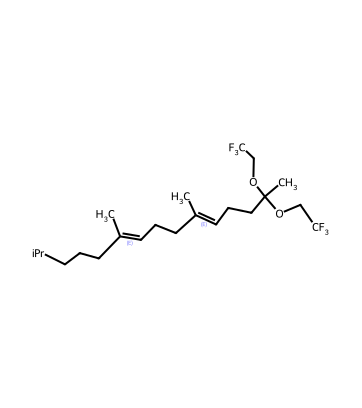 C/C(=C\CCC(C)(OCC(F)(F)F)OCC(F)(F)F)CC/C=C(\C)CCCC(C)C